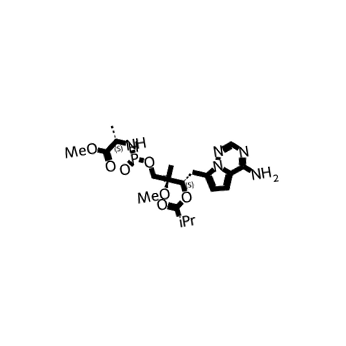 COC(=O)[C@H](C)N[PH](=O)OC[C@@](C)(OC)[C@H](Cc1ccc2c(N)ncnn12)OC(=O)C(C)C